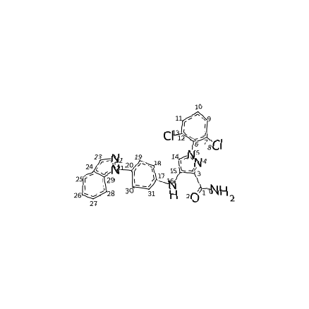 NC(=O)c1nn(-c2c(Cl)cccc2Cl)cc1Nc1ccc(-n2ncc3ccccc32)cc1